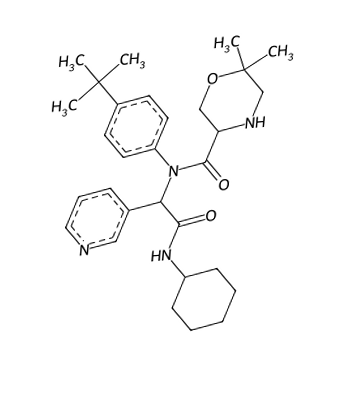 CC1(C)CNC(C(=O)N(c2ccc(C(C)(C)C)cc2)C(C(=O)NC2CCCCC2)c2cccnc2)CO1